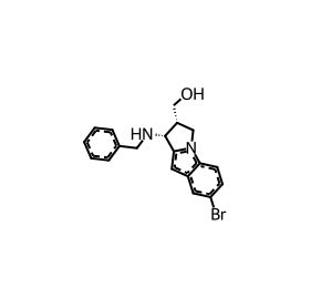 OC[C@@H]1Cn2c(cc3cc(Br)ccc32)[C@@H]1NCc1ccccc1